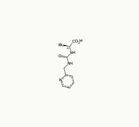 CCC(C)[C@H](NC(=O)NCc1ccccn1)C(=O)O